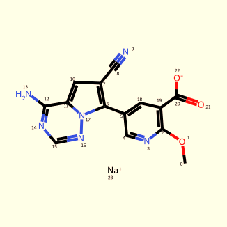 COc1ncc(-c2c(C#N)cc3c(N)ncnn23)cc1C(=O)[O-].[Na+]